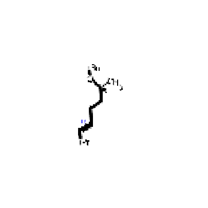 CC(C)/C=C/CC[C@@H](C)OC(C)(C)C